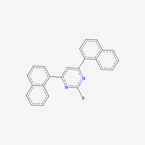 [Ir][c]1nc(-c2cccc3ccccc23)cc(-c2cccc3ccccc23)n1